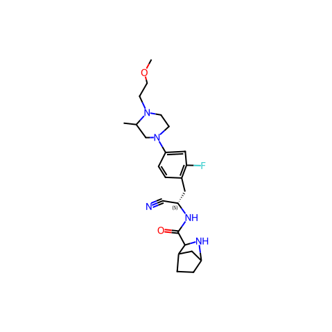 COCCN1CCN(c2ccc(C[C@@H](C#N)NC(=O)C3NC4CCC3C4)c(F)c2)CC1C